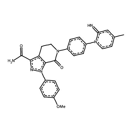 COc1ccc(-n2nc(C(N)=O)c3c2C(=O)N(c2ccc(-n4ccc(C)cc4=N)cc2)CC3)cc1